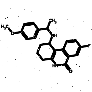 COc1ccc(C(C)NC2CCCc3[nH]c(=O)c4cc(F)ccc4c32)cc1